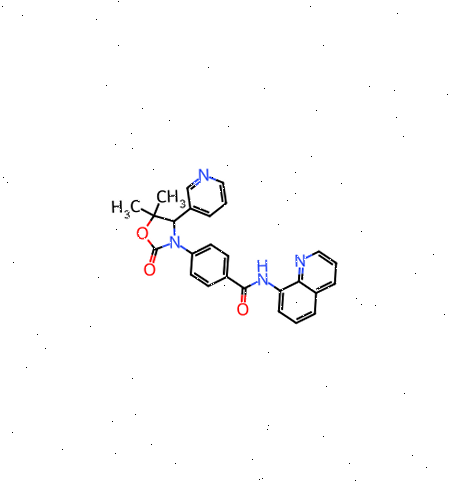 CC1(C)OC(=O)N(c2ccc(C(=O)Nc3cccc4cccnc34)cc2)C1c1cccnc1